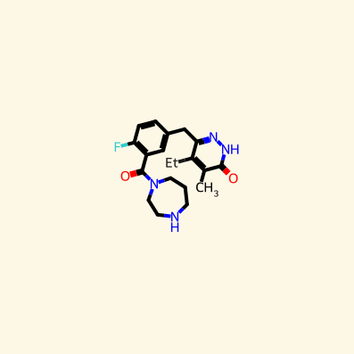 CCc1c(Cc2ccc(F)c(C(=O)N3CCCNCC3)c2)n[nH]c(=O)c1C